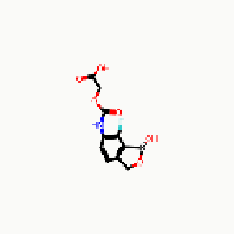 O=C(O)COC(=O)Nc1ccc2c(c1F)B(O)OC2